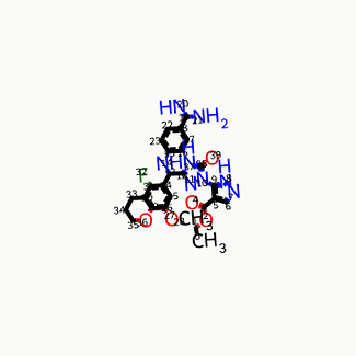 CCOC(=O)c1cn[nH]c1-n1nc(C(Nc2ccc(C(=N)N)cc2)c2cc(OC)c3c(c2F)CCCO3)[nH]c1=O